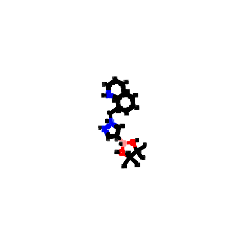 CC1(C)OB(c2cnn(Cc3cccc4cccnc34)c2)OC1(C)C